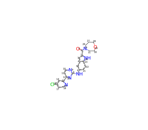 O=C(c1cc2cc(Nc3nccc(-c4cc(Cl)ccn4)n3)ccc2[nH]1)N1CCCOCC1